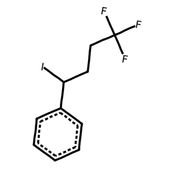 FC(F)(F)CCC(I)c1ccccc1